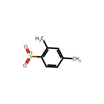 Cc1ccc([SH](=O)=O)c(C)c1